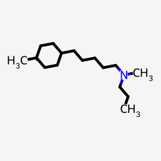 CCCN(C)CCCCCC1CC[C](C)CC1